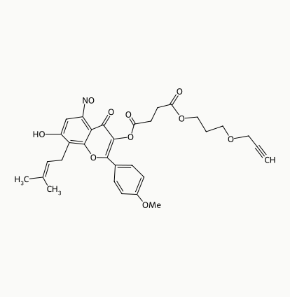 C#CCOCCCOC(=O)CCC(=O)Oc1c(-c2ccc(OC)cc2)oc2c(CC=C(C)C)c(O)cc(N=O)c2c1=O